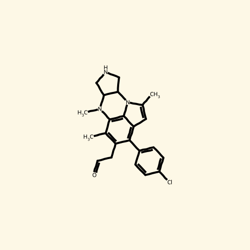 Cc1c(CC=O)c(-c2ccc(Cl)cc2)c2cc(C)n3c2c1N(C)C1CNCC13